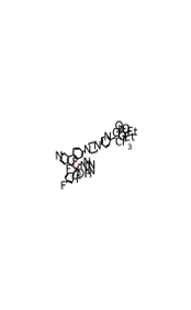 CCOP(=O)(OCC)OC(c1ccc(N2CCN(c3ccc(-c4cnccc4C(F)(F)[C@](O)(Cn4cnnn4)c4ccc(F)cc4F)cc3)CC2)cn1)C(F)(F)F